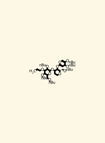 C=CCOC1C(OCCCC)C(COCCCC)OC(OC2CCO[C@@H](COCCCC)C2OC2=CC(OCCCC)C(OCCCC)=CO2)C1OCCCC